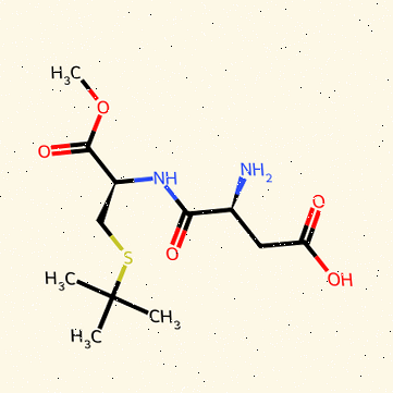 COC(=O)[C@H](CSC(C)(C)C)NC(=O)[C@@H](N)CC(=O)O